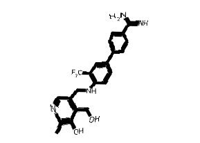 Cc1ncc(CNc2ccc(-c3ccc(C(=N)N)cc3)cc2C(F)(F)F)c(CO)c1O